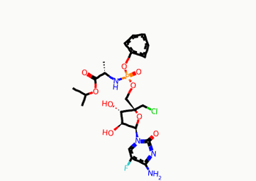 CC(C)OC(=O)[C@H](C)NP(=O)(OC[C@@]1(CCl)O[C@@H](n2cc(F)c(N)nc2=O)[C@@H](O)[C@@H]1O)Oc1ccccc1